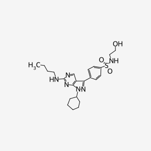 CCCCNc1ncc2c(-c3ccc(S(=O)(=O)NCCO)cc3)nn(C3CCCCC3)c2n1